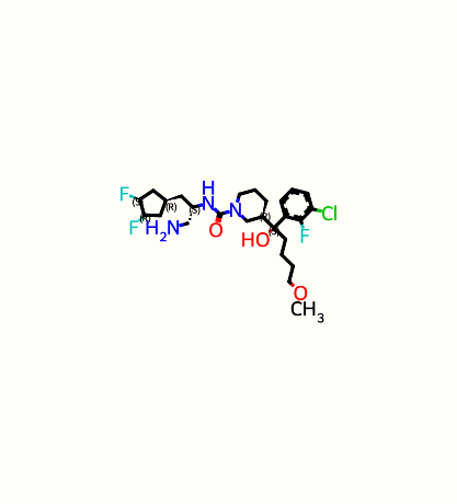 COCCCC[C@@](O)(c1cccc(Cl)c1F)[C@@H]1CCCN(C(=O)N[C@H](CN)C[C@H]2C[C@@H](F)[C@@H](F)C2)C1